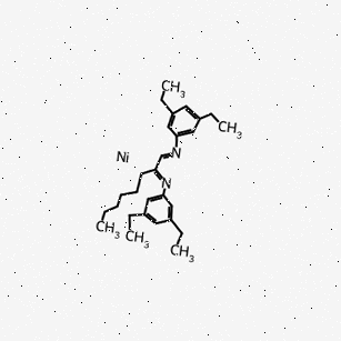 CCCCCCC(C=Nc1cc(CC)cc(CC)c1)=Nc1cc(CC)cc(CC)c1.[Ni]